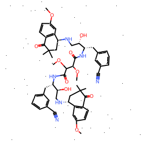 COc1ccc2c(c1)[C@@H](NC[C@H](O)[C@H](Cc1cccc(C#N)c1)NC(=O)C(OC)C(OC)C(=O)N[C@@H](Cc1cccc(C#N)c1)[C@@H](O)CN[C@@H]1CC(C)(C)C(=O)c3ccc(OC)cc31)CC(C)(C)C2=O